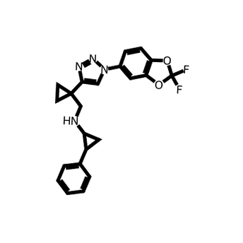 FC1(F)Oc2ccc(-n3cc(C4(CNC5CC5c5ccccc5)CC4)nn3)cc2O1